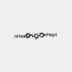 CCCCCCC[C@H]1CC[C@H]([C@H]2CC[C@H](CCc3ccc(CCCCCC)cc3)CC2)CC1